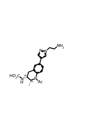 CC(=O)N1c2ccc(-c3cnn(CCN)c3)cc2C[C@@H](NC(=O)O)[C@H]1C